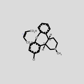 CN1CC[C@H]2c3ccccc3Oc3ccc(Cl)cc3[C@H]2C1.O=C(O)/C=C\C(=O)O